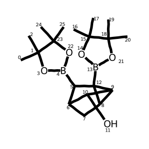 CC1(C)OB(C2C3CC4C(C3O)C42B2OC(C)(C)C(C)(C)O2)OC1(C)C